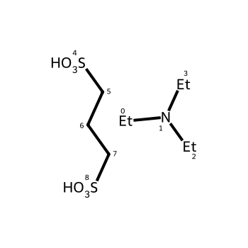 CCN(CC)CC.O=S(=O)(O)CCCS(=O)(=O)O